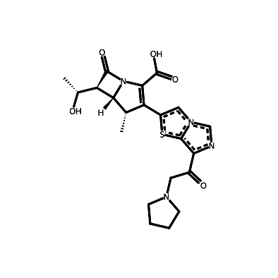 C[C@@H](O)[C@H]1C(=O)N2C(C(=O)O)=C(c3cn4cnc(C(=O)CN5CCCC5)c4s3)[C@H](C)[C@H]12